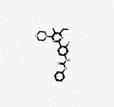 CCc1nc(-c2ccc(NC(=O)Oc3ccccc3)cc2F)nc(N2CCOCC2)c1C